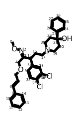 CO/N=C(\COC/C=C/c1ccccc1)C(CCN1CCC(O)(c2ccccc2)CC1)c1ccc(Cl)c(Cl)c1